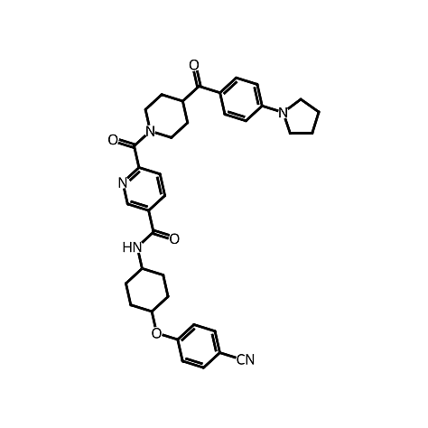 N#Cc1ccc(OC2CCC(NC(=O)c3ccc(C(=O)N4CCC(C(=O)c5ccc(N6CCCC6)cc5)CC4)nc3)CC2)cc1